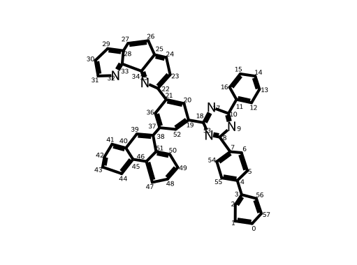 c1ccc(-c2ccc(-c3nc(-c4ccccc4)nc(-c4cc(-c5ccc6ccc7cccnc7c6n5)cc(-c5cc6ccccc6c6ccccc56)c4)n3)cc2)cc1